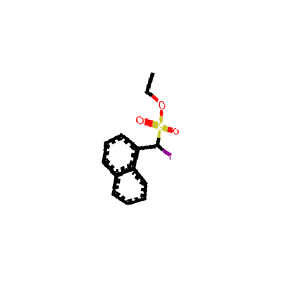 CCOS(=O)(=O)C(I)c1cccc2ccccc12